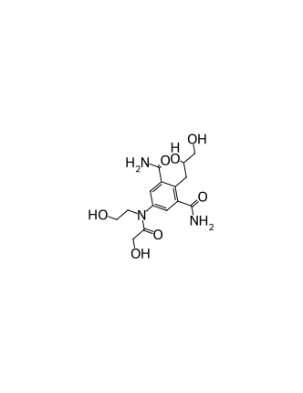 NC(=O)c1cc(N(CCO)C(=O)CO)cc(C(N)=O)c1CC(O)CO